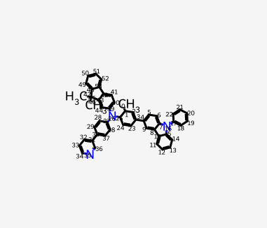 CC1C=C(c2ccc3c(c2)c2ccccc2n3-c2ccccc2)C=CC1N(c1ccc(-c2cccnc2)cc1)c1ccc2c(c1)C(C)(C)c1ccccc1-2